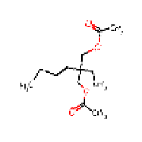 CCCCC(CC)(COC(C)=O)COC(C)=O